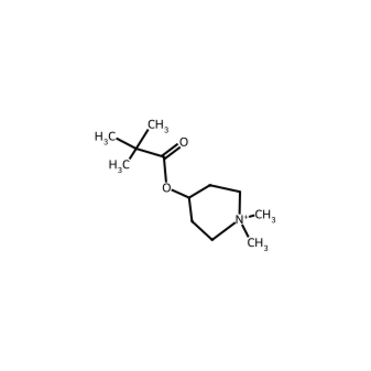 CC(C)(C)C(=O)OC1CC[N+](C)(C)CC1